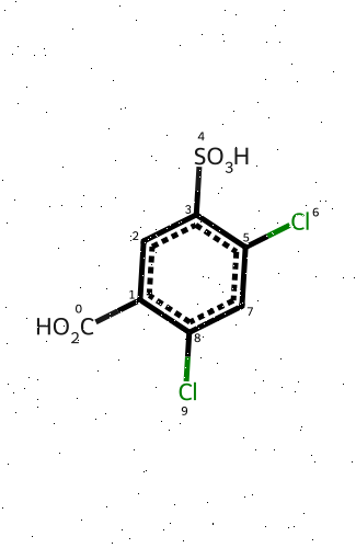 O=C(O)c1cc(S(=O)(=O)O)c(Cl)cc1Cl